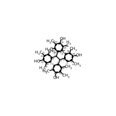 Cc1cc(C(c2cc(C)c(O)c(C)c2C)C(c2cc(C)c(O)c(C)c2C)c2cc(C)c(O)c(C)c2C)c(C)c(C)c1O